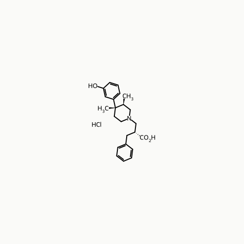 C[C@H]1CN(C[C@@H](Cc2ccccc2)C(=O)O)CC[C@]1(C)c1cccc(O)c1.Cl